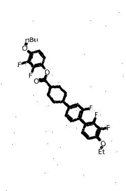 CCCCOc1ccc(OC(=O)C2CCC(c3ccc(-c4ccc(OCC)c(F)c4F)c(F)c3)CC2)c(F)c1F